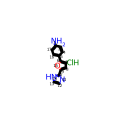 Cl.Nc1ccc(-c2ccc(-c3ncc[nH]3)o2)cc1